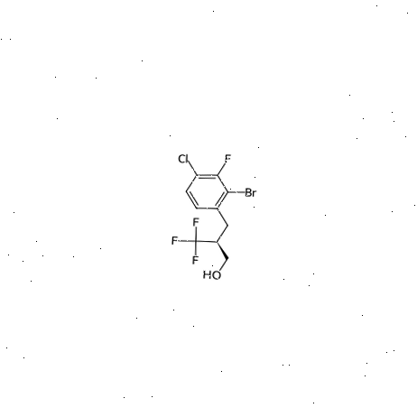 OC[C@H](Cc1ccc(Cl)c(F)c1Br)C(F)(F)F